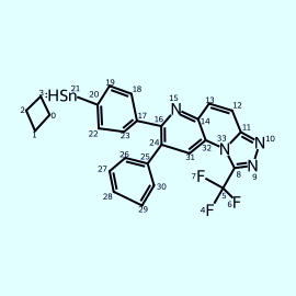 C1CCC1.FC(F)(F)c1nnc2ccc3nc(-c4cc[c]([SnH])cc4)c(-c4ccccc4)cc3n12